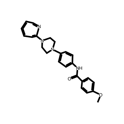 COc1ccc(C(=O)Nc2ccc(N3CCN(C4=CC=C=CC=N4)CC3)cc2)cc1